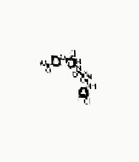 COC(=O)[C@H]1CC[C@H](Oc2ncc(NC(=O)c3nnc(Nc4ccc(F)c(Cl)c4)o3)cc2Cl)CC1